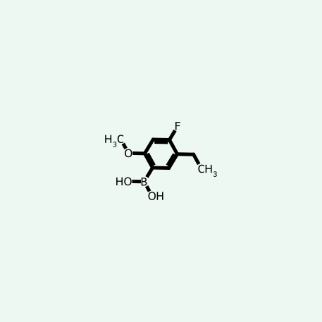 CCc1cc(B(O)O)c(OC)cc1F